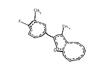 Cc1cc(-c2oc3ccccc3c2C)ccc1F